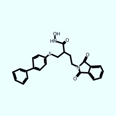 O=C(NO)C(CCN1C(=O)c2ccccc2C1=O)CSc1ccc(-c2ccccc2)cc1